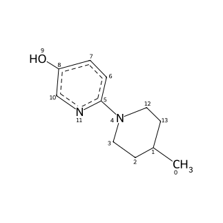 CC1CCN(c2ccc(O)cn2)CC1